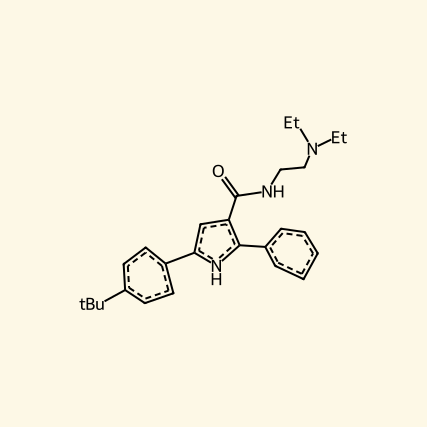 CCN(CC)CCNC(=O)c1cc(-c2ccc(C(C)(C)C)cc2)[nH]c1-c1ccccc1